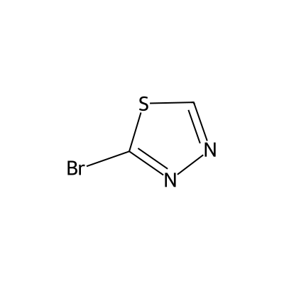 Brc1nncs1